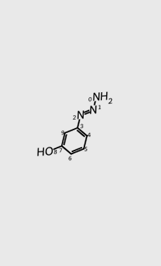 NN=Nc1cccc(O)c1